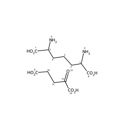 NC(CCCC(N)C(=O)O)C(=O)O.O=C(O)CCC(=O)C(=O)O